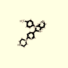 Cc1ccc(-n2c(-c3ccc(N4CCNCC4)nc3)nc3ccncc32)cc1